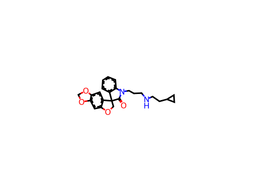 O=C1N(CCCNCCC2CC2)c2ccccc2C12COc1cc3c(cc12)OCO3